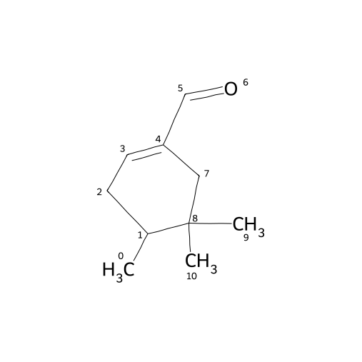 CC1CC=C(C=O)CC1(C)C